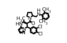 CC1=C(C(=O)N2CCCC2CNc2c(C)cccc2C)C(c2ccc(Cl)c(Cl)c2)n2nccc2N1